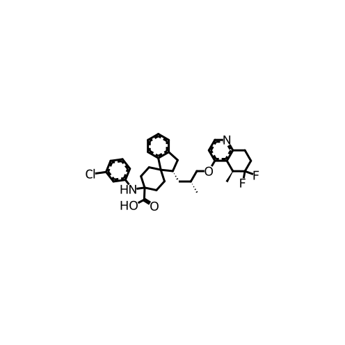 C[C@@H](COc1ccnc2c1[C@H](C)C(F)(F)CC2)C[C@H]1Cc2ccccc2C12CCC(Nc1cccc(Cl)c1)(C(=O)O)CC2